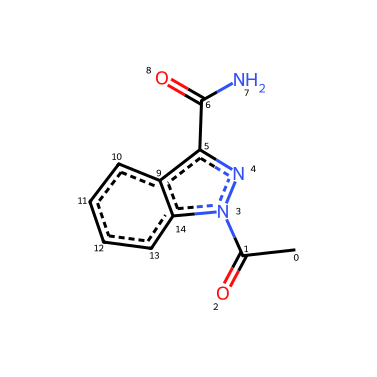 CC(=O)n1nc(C(N)=O)c2ccccc21